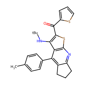 Cc1ccc(-c2c3c(nc4sc(C(=O)c5cccs5)c(NC(C)(C)C)c24)CCC3)cc1